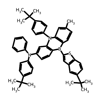 Cc1ccc2c(c1)N(c1ccc(C(C)(C)C)cc1)c1cc(N(c3ccccc3)c3ccc(C(C)(C)C)cc3)ccc1B2c1cc2cc(C(C)(C)C)ccc2s1